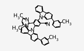 Cc1cccc(-c2ccc3c4ccccc4n(-c4cc(-c5nc(C)cc(C)n5)c(-n5c6ccccc6c6ccc(-c7cccc(C)c7)cc65)cc4C#N)c3c2)c1